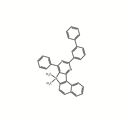 C[Si]1(C)c2ccc3ccccc3c2-c2nc(-c3cccc(-c4ccccc4)c3)nc(-c3ccccc3)c21